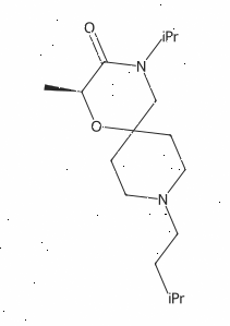 CC(C)CCN1CCC2(CC1)CN(C(C)C)C(=O)[C@H](C)O2